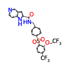 O=C(NCc1ccc(S(=O)(=O)c2ccc(C(F)(F)F)cc2OCC(F)(F)F)cc1)c1cc2cnccc2[nH]1